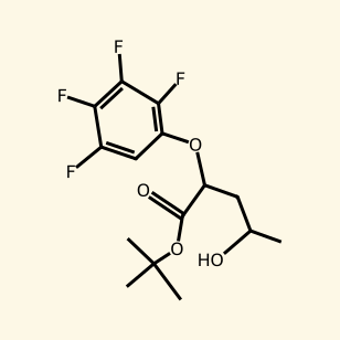 CC(O)CC(Oc1cc(F)c(F)c(F)c1F)C(=O)OC(C)(C)C